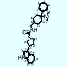 CN(C)C1(c2ccccc2)CCC(CNC(=O)N2CCC(c3c[nH]c4ccccc34)C2)CC1